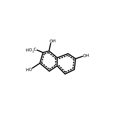 O=C(O)c1c(O)cc2ccc(O)cc2c1O